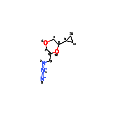 [N-]=[N+]=NCC1COCC(C2CC2)O1